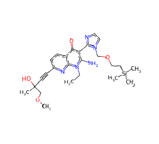 CCn1c(N)c(-c2nccn2COCC[Si](C)(C)C)c(=O)c2ccc(C#CC(C)(O)COC)nc21